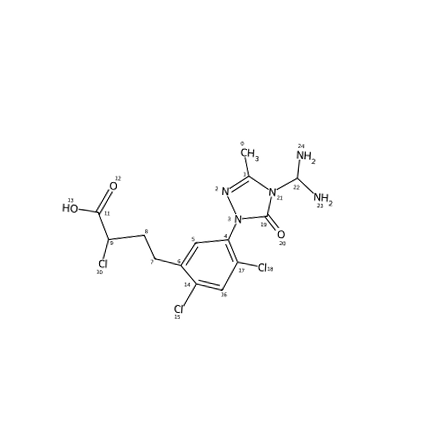 Cc1nn(-c2cc(CCC(Cl)C(=O)O)c(Cl)cc2Cl)c(=O)n1C(N)N